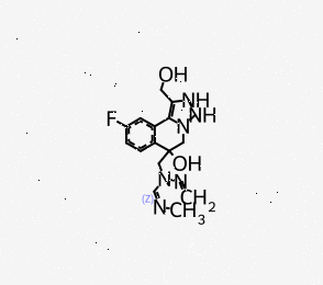 C=NN(/C=N\C)CC1(O)CN2NNC(CO)=C2c2cc(F)ccc21